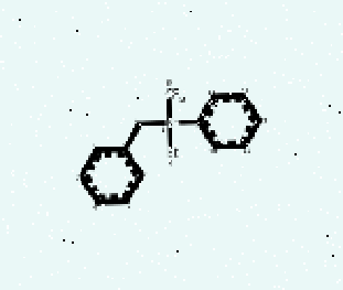 CC[N+](Cc1ccccc1)(c1ccccc1)C(F)(F)F